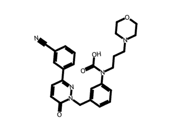 N#Cc1cccc(-c2ccc(=O)n(Cc3cccc(N(CCCN4CCOCC4)C(=O)O)c3)n2)c1